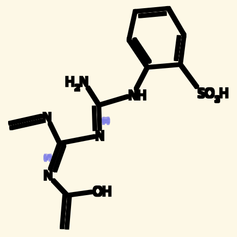 C=NC(=N/C(=C)O)/N=C(\N)Nc1ccccc1S(=O)(=O)O